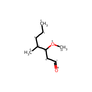 CCCC(C)C(CC=O)OC